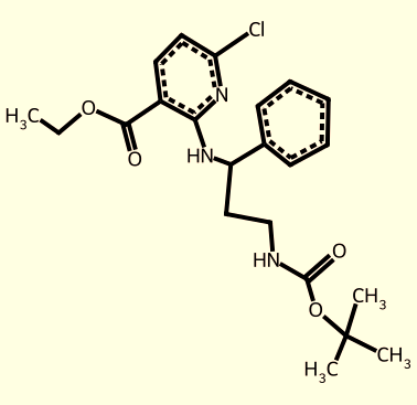 CCOC(=O)c1ccc(Cl)nc1NC(CCNC(=O)OC(C)(C)C)c1ccccc1